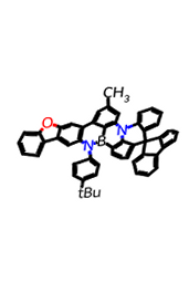 Cc1cc2c3c(c1)N1c4ccccc4C4(c5ccccc5-c5ccccc54)c4cccc(c41)B3N(c1ccc(C(C)(C)C)cc1)c1cc3c(cc1-2)oc1ccccc13